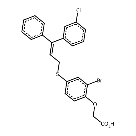 O=C(O)COc1ccc(SCC=C(c2ccccc2)c2cccc(Cl)c2)cc1Br